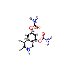 CC1=C(C)N(C)Cc2c(OC(=O)N(C)C)cc(OC(=O)N(C)C)cc21